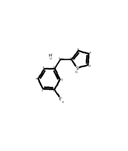 Fc1cc[c]c(Cc2cccs2)c1.[H+]